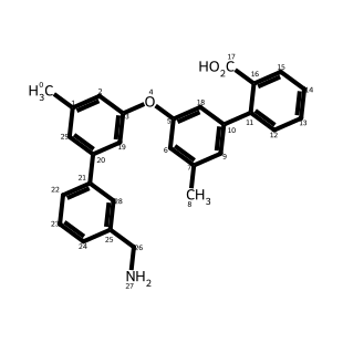 Cc1cc(Oc2cc(C)cc(-c3ccccc3C(=O)O)c2)cc(-c2cccc(CN)c2)c1